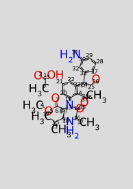 CC(=O)O.COC(=O)[C@H](CC(C)C)N(C(=O)C(C)N)c1cccc([C@@H]2COc3ccc(N)cc32)c1C(C)=O